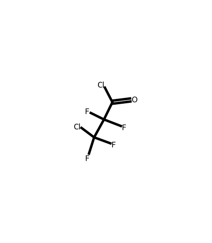 O=C(Cl)C(F)(F)C(F)(F)Cl